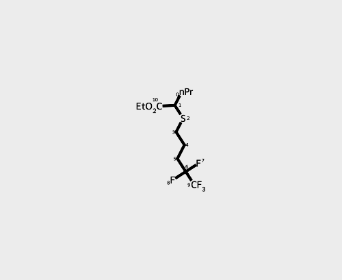 CCCC(SCCCC(F)(F)C(F)(F)F)C(=O)OCC